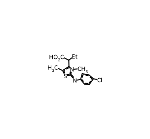 CCC(C(=O)O)c1c(C)s/c(=N/c2ccc(Cl)cc2)n1C